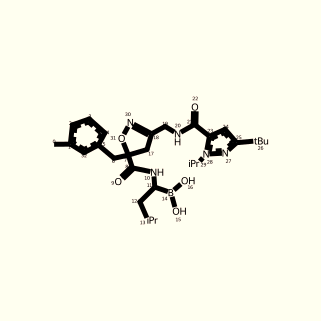 Cc1cccc(CC2(C(=O)NC(CC(C)C)B(O)O)CC(CNC(=O)c3cc(C(C)(C)C)nn3C(C)C)=NO2)c1